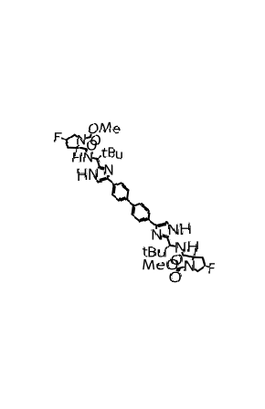 COC(=O)N1C[C@H](F)C[C@@]1(C)C(=O)N[C@H](c1nc(-c2ccc(-c3ccc(-c4c[nH]c([C@@H](NC(=O)[C@]5(C)C[C@@H](F)CN5C(=O)OC)C(C)(C)C)n4)cc3)cc2)c[nH]1)C(C)(C)C